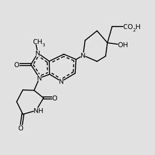 Cn1c(=O)n(C2CCC(=O)NC2=O)c2ncc(N3CCC(O)(CC(=O)O)CC3)cc21